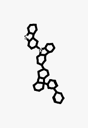 C1=CC(C2C=CCC(C34CCCCC3C3CC(C5CCC6C(C5)C5CCCCC5N6C5CCC6SC7CCCCC7C6C5)CCC34)C2)CCC1